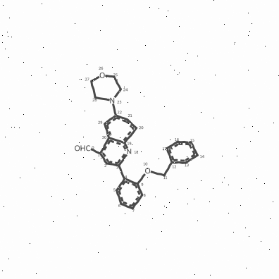 O=Cc1cc(-c2ccccc2OCc2ccccc2)nc2ccc(N3CCOCC3)cc12